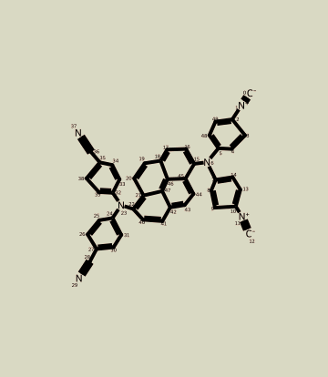 [C-]#[N+]c1ccc(N(c2ccc([N+]#[C-])cc2)c2ccc3ccc4c(N(c5ccc(C#N)cc5)c5ccc(C#N)cc5)ccc5ccc2c3c54)cc1